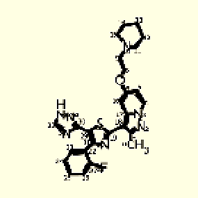 Cc1nn2ccc(OCCN3CCCCC3)cc2c1-c1nc(-c2ccccc2F)c(-c2nc[nH]n2)s1